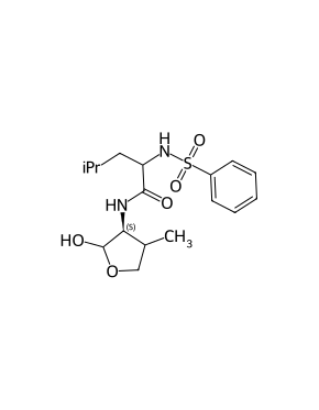 CC(C)CC(NS(=O)(=O)c1ccccc1)C(=O)N[C@H]1C(C)COC1O